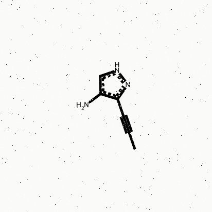 CC#Cc1n[nH]cc1N